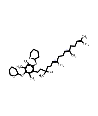 CC(C)=CCC/C(C)=C/CC/C(C)=C/CCC(C)(O)CCc1c(C)c(OC2CCCCO2)c(C)c(C)c1OC1CCCCO1